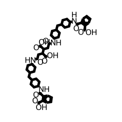 O=C(CC(C(=O)O)C(CC(=O)NC1CCC(CC2CCC(NC(=O)C3C4C=CC(C4)C3C(=O)O)CC2)CC1)C(=O)O)NC1CCC(CC2CCC(NC(=O)C3C4C=CC(C4)C3C(=O)O)CC2)CC1